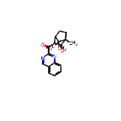 CC12CCC(C(C(=O)c3ncc4ccccc4n3)C1=O)C2(C)C